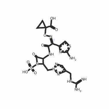 N=C(N)NCc1cnn(CC2C(NC(=O)/C(=N\OC3(C(=O)O)CC3)c3csc(N)n3)C(=O)N2S(=O)(=O)O)n1